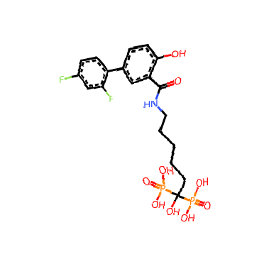 O=C(NCCCCCC(O)(P(=O)(O)O)P(=O)(O)O)c1cc(-c2ccc(F)cc2F)ccc1O